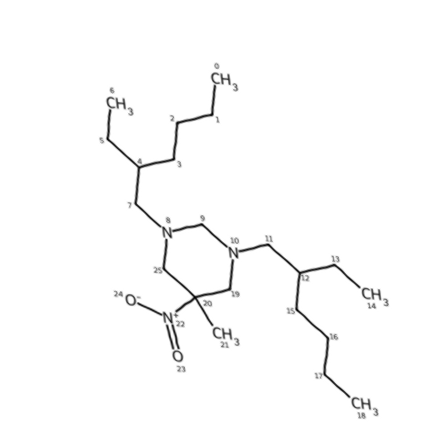 CCCCC(CC)CN1CN(CC(CC)CCCC)CC(C)([N+](=O)[O-])C1